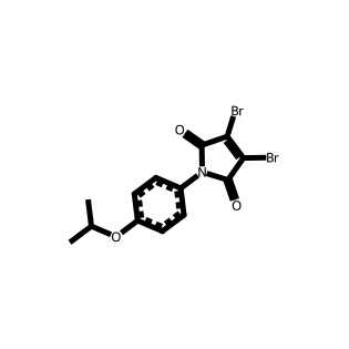 CC(C)Oc1ccc(N2C(=O)C(Br)=C(Br)C2=O)cc1